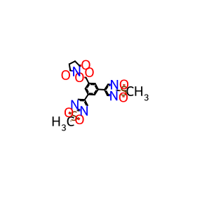 CS(=O)(=O)c1ncc(-c2cc(C(=O)ON3C(=O)CCC3=O)cc(-c3cnc(S(C)(=O)=O)nc3)c2)cn1